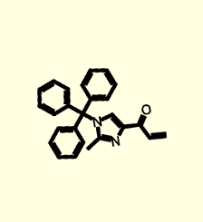 C=CC(=O)c1cn(C(c2ccccc2)(c2ccccc2)c2ccccc2)c(C)n1